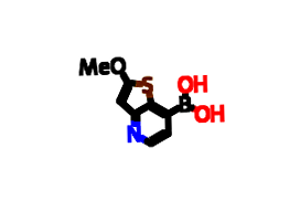 COc1cc2nccc(B(O)O)c2s1